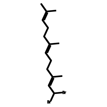 CC(C)=CCC/C(C)=C/CC/C(C)=C/C(Br)Br